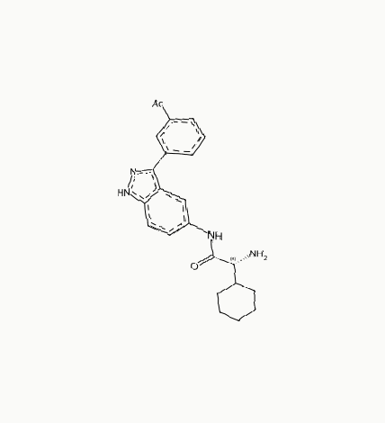 CC(=O)c1cccc(-c2n[nH]c3ccc(NC(=O)[C@H](N)C4CCCCC4)cc23)c1